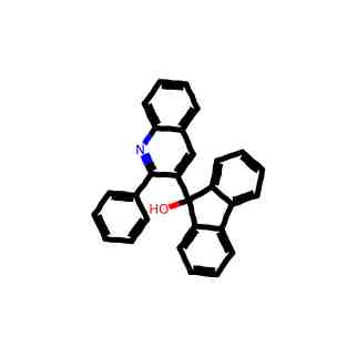 OC1(c2cc3ccccc3nc2-c2ccccc2)c2ccccc2-c2ccccc21